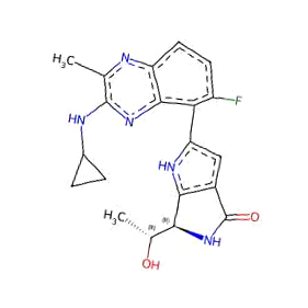 Cc1nc2ccc(F)c(-c3cc4c([nH]3)[C@H]([C@@H](C)O)NC4=O)c2nc1NC1CC1